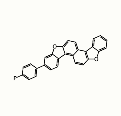 Fc1ccc(-c2ccc3c(c2)oc2ccc4c(ccc5oc6ccccc6c54)c23)cc1